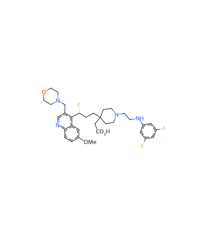 COc1ccc2ncc(CN3CCOCC3)c([C@H](F)CCC3(CC(=O)O)CCN(CCNc4cc(F)cc(F)c4)CC3)c2c1